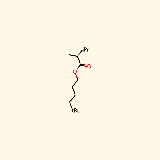 CC(C)[C@H](C)C(=O)OCCCCC(C)(C)C